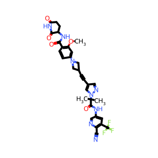 COc1cc(N2CC(C#Cc3cnn(C(C)(C)C(=O)Nc4cnc(C#N)c(C(F)(F)F)c4)c3)C2)ccc1C(=O)NC1CCC(=O)NC1=O